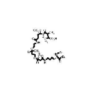 CCC(C)(CCOC(C)(CC)CC(=O)NCCCC[C@H](NC(C)C)C(=O)C(C)(C)C)OCCNC(=O)CC[C@H](NC(=O)C(C)C(C)C(=O)O)C(=O)O